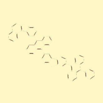 c1ccc(-c2c3ccccc3c(-c3ccc4c(c3)oc3ccc(-c5c6ccccc6c(-c6ccc7oc8ccc9ccccc9c8c7c6)c6ccccc56)cc34)c3ccccc23)cc1